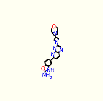 NC1Nc2cc(-c3ccc4ncc(N5CC(N6C7CCC6COC7)C5)nc4n3)ccc2O1